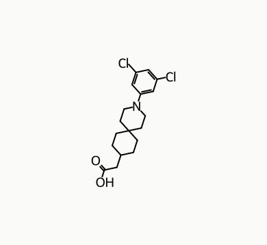 O=C(O)CC1CCC2(CC1)CCN(c1cc(Cl)cc(Cl)c1)CC2